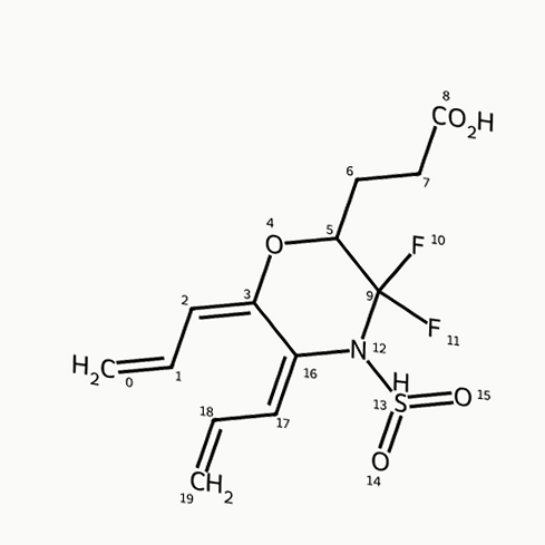 C=C/C=C1/OC(CCC(=O)O)C(F)(F)N([SH](=O)=O)/C1=C/C=C